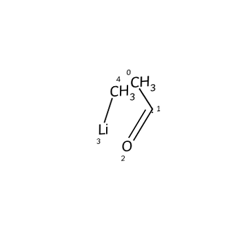 C[C]=O.[Li][CH3]